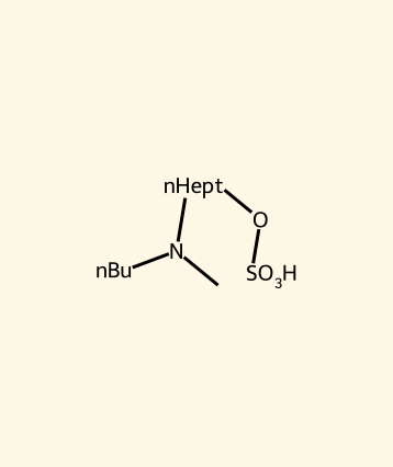 CCCCCCCOS(=O)(=O)O.CCCCN(C)C